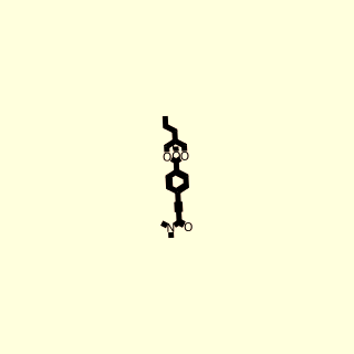 CCCC12COC(c3ccc(C#CC(=O)N(C)C)cc3)(OC1)OC2